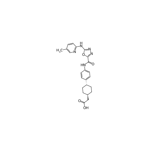 Cc1ccc(Nc2nnc(C(=O)Nc3ccc([C@H]4CC[C@H](CC(=O)O)CC4)cc3)o2)nc1